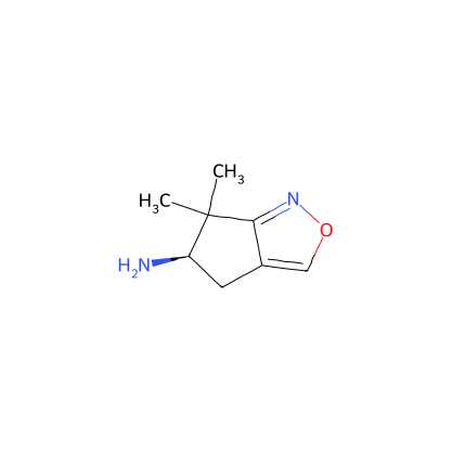 CC1(C)c2nocc2C[C@H]1N